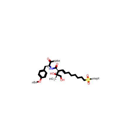 CCCCCCCS(=O)(=O)CCCCCC/C=C/[C@H](C(=O)N[C@@H](Cc1ccc(OCCCC)cc1)C(=O)NC)[C@@](O)(CO)C(=O)O